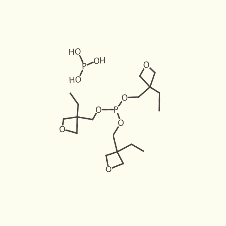 CCC1(COP(OCC2(CC)COC2)OCC2(CC)COC2)COC1.OP(O)O